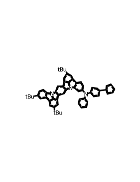 CC(C)(C)c1ccc2c(c1)c1cc(C(C)(C)C)cc3c4cc5c(cc4n2c13)c1cc(C(C)(C)C)cc2c3ccc(N(c4ccccc4)c4ccc(-c6ccccc6)cc4)cc3n5c21